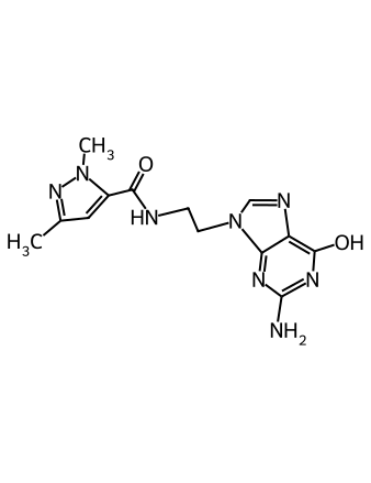 Cc1cc(C(=O)NCCn2cnc3c(O)nc(N)nc32)n(C)n1